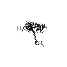 CC(NC(=N)N)C(=O)O.[2H]C([2H])([2H])C(=O)C(C=CCCCCCCC)C(=O)OC(C)(C)C